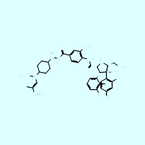 CNN(/C=C(\C)NC(C)=O)C1CCC(BNC(=O)c2ccc(NC(=O)[C@@H]3N[C@@H](CC(C)(C)C)[C@](C#N)(c4ccc(Cl)cc4F)[C@H]3c3cccc(Cl)c3F)c(OC)c2)CC1